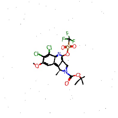 COc1cc2c3c(c(OS(=O)(=O)C(F)(F)F)nc2c(Cl)c1Cl)CN(C(=O)OC(C)(C)C)[C@H]3C